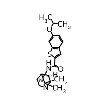 CC(C)Oc1ccc2cc(C(=O)N[C@@H]3C4CCN(CC4)C3(C)C)sc2c1